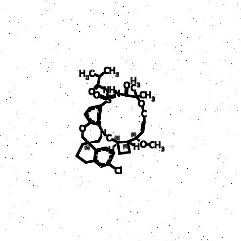 CO[C@H]1C=CCOC(C)(C)C(=O)N=[S@](=O)(NC(=O)C(C)C)c2ccc3c(c2)N(C[C@@H]2CC[C@H]21)C[C@@]1(CCCc2cc(Cl)ccc21)CO3